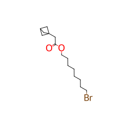 O=C(CC12CC(C1)C2)OCCCCCCCCBr